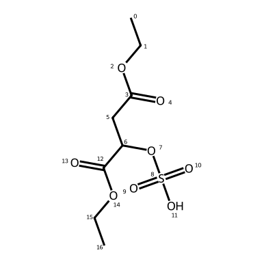 CCOC(=O)CC(OS(=O)(=O)O)C(=O)OCC